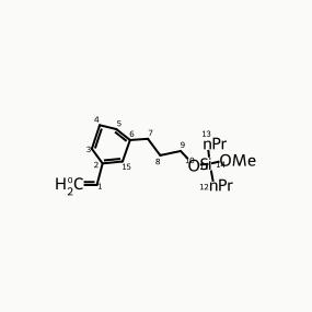 C=Cc1cccc(CCCO[Si](CCC)(CCC)OC)c1